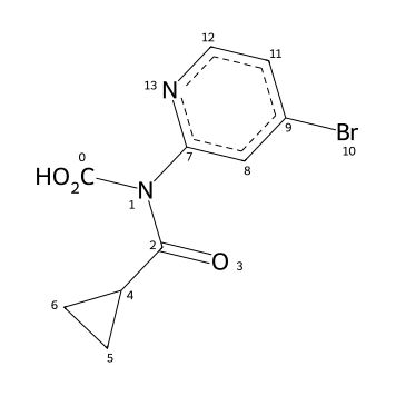 O=C(O)N(C(=O)C1CC1)c1cc(Br)ccn1